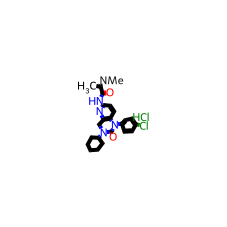 CN[C@@H](C)C(=O)Nc1ccc2c(n1)CN(C1CCCCC1)C(=O)N2c1ccc(Cl)cc1.Cl